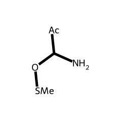 CSOC(N)C(C)=O